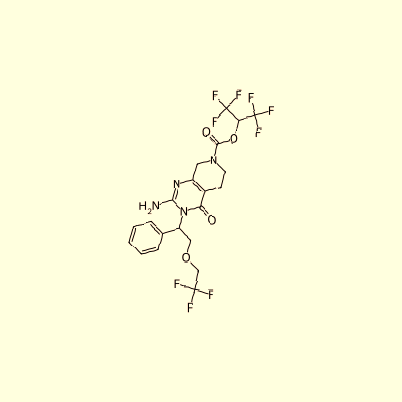 Nc1nc2c(c(=O)n1C(COCC(F)(F)F)c1ccccc1)CCN(C(=O)OC(C(F)(F)F)C(F)(F)F)C2